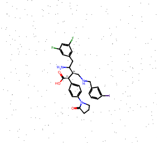 NC(Cc1cc(F)cc(F)c1)[C@@H](CNCc1cccc(I)c1)[C@H](C(=O)O)c1ccc(N2CCCC2=O)cc1